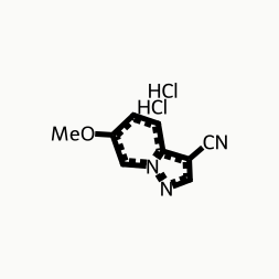 COc1ccc2c(C#N)cnn2c1.Cl.Cl